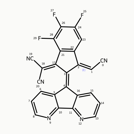 N#C/C=C1/C(=C2c3cccnc3-c3ncccc32)C(=C(C#N)C#N)c2c1cc(F)c(F)c2F